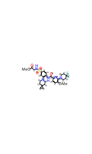 COC(=O)CNS(=O)(=O)c1ccc(NC(=O)c2ccc(OC)c(N3CCC(F)(F)CC3)n2)c(N2CCC3(CC2)CC3)c1